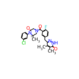 Cc1c(Cc2ccc(F)c(C(=O)N3CC(=O)N(c4cccc(Cl)c4)[C@@H](C)C3)c2)n[nH]c(=O)c1C